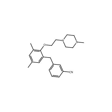 Cc1cc(C)c(OCCN2CCN(C)CC2)c(Cc2cccc(C#N)c2)c1